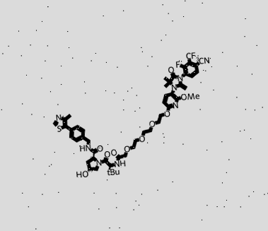 C=C1N(c2ccc(C#N)c(C(F)(F)F)c2F)C(=O)C(C)(C)N1c1ccc(OCCOCCOCCOCC(=O)N[C@H](C(=O)N2C[C@H](O)C[C@H]2C(=O)NCc2ccc(-c3scnc3C)cc2)C(C)(C)C)nc1OC